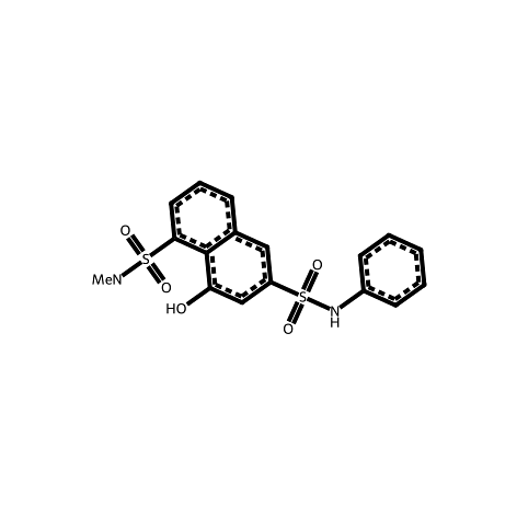 CNS(=O)(=O)c1cccc2cc(S(=O)(=O)Nc3ccccc3)cc(O)c12